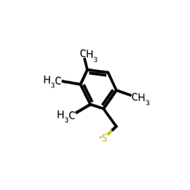 Cc1cc(C)c(C[S])c(C)c1C